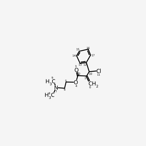 C=C(C(=O)OCCN(C)C)C(Cl)c1ccccc1